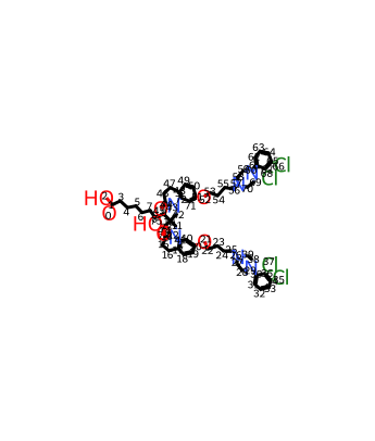 O=C(O)CCCCCCCC(CN1C(=O)CCc2ccc(OCCCCN3CCN(c4cccc(Cl)c4Cl)CC3)cc21)(CN1C(=O)CCc2ccc(OCCCCN3CCN(c4cccc(Cl)c4Cl)CC3)cc21)C(=O)O